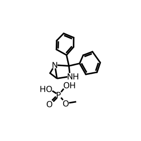 COP(=O)(O)O.c1ccc(C2(c3ccccc3)NC3CN32)cc1